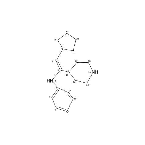 [c]1ccc(N/C(=N/C2CCCC2)N2CCNCC2)cc1